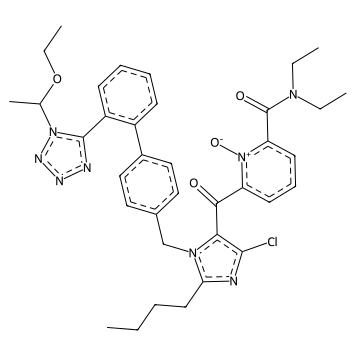 CCCCc1nc(Cl)c(C(=O)c2cccc(C(=O)N(CC)CC)[n+]2[O-])n1Cc1ccc(-c2ccccc2-c2nnnn2C(C)OCC)cc1